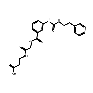 O=C(O)CCNC(=O)CNC(=O)c1cccc(NC(=O)NCCc2ccccc2)c1